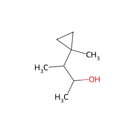 CC(O)C(C)C1(C)CC1